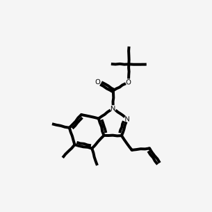 C=CCc1nn(C(=O)OC(C)(C)C)c2cc(C)c(C)c(C)c12